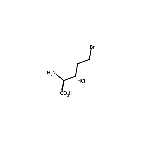 Cl.N[C@@H](CCCBr)C(=O)O